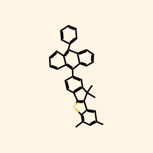 Cc1cc(C)c2sc3c(c2c1)C(C)(C)c1cc(-c2c4ccccc4c(-c4ccccc4)c4ccccc24)ccc1-3